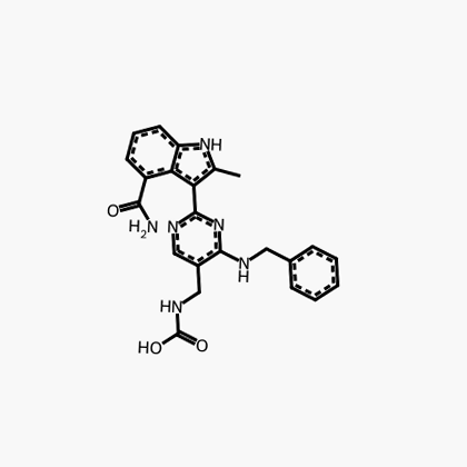 Cc1[nH]c2cccc(C(N)=O)c2c1-c1ncc(CNC(=O)O)c(NCc2ccccc2)n1